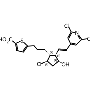 O=C(O)c1ccc(CCC[C@@H]2[C@@H](C=Cc3cc(Cl)nc(Cl)c3)[C@H](O)C[C@H]2Cl)s1